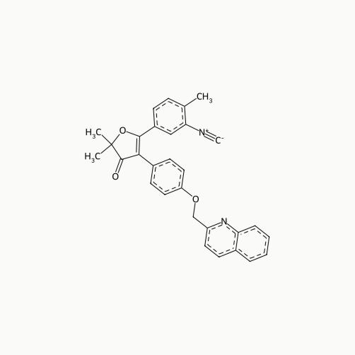 [C-]#[N+]c1cc(C2=C(c3ccc(OCc4ccc5ccccc5n4)cc3)C(=O)C(C)(C)O2)ccc1C